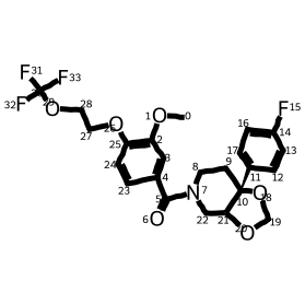 COc1cc(C(=O)N2CC[C@]3(c4ccc(F)cc4)OCOC3C2)ccc1OCCOC(F)(F)F